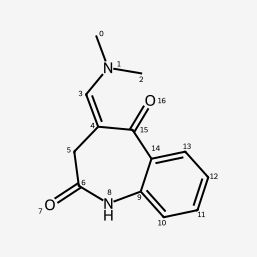 CN(C)C=C1CC(=O)Nc2ccccc2C1=O